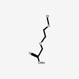 [CH2]COCCOCC(=O)OC